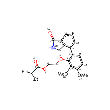 CCC(CC)C(=O)OCCOc1c(-c2cccc3c2CNC3=O)ccc(OC)c1OC